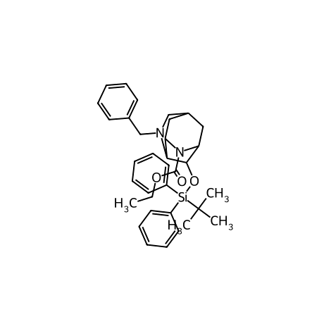 CCOC(=O)N1C2CC3CC1C(C2O[Si](c1ccccc1)(c1ccccc1)C(C)(C)C)N(Cc1ccccc1)C3